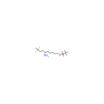 CC(F)(F)CCC(N)CCCCCO[Si](C)(C)C(C)(C)C